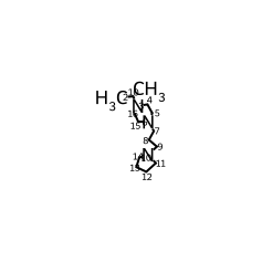 CC(C)N1CCN(CCCN2CCCC2)CC1